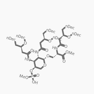 CCCCCCCCCCC[C@H](CC(=O)N[C@@H]1[C@H](OC[C@H](NC(=O)C[C@@H](CCCCCCCCCCC)OCCCCCCCCCC)C(=O)OC)OC[C@@H](OP(=O)(O)OC)[C@H]1NC(=O)C[C@@H](CCCCCCCCCCC)OCCCCCCCCCC)OCCCCCCCCCC